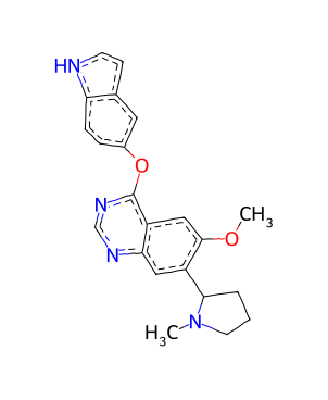 COc1cc2c(Oc3ccc4[nH]ccc4c3)ncnc2cc1C1CCCN1C